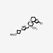 CCc1cc2c(s1)CCO[C@@]21CCN(Cc2cn([C@H]3C[C@@H](OC)C3)nn2)[C@@H](C)C1